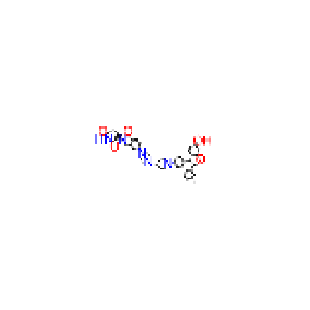 Cc1cccc(C2COc3cc(O)ccc3C2c2ccc(N3CCC(CN4CCN(c5ccc6c(c5)CN([C@H]5CCC(=O)NC5=O)C6=O)CC4)CC3)cc2)c1